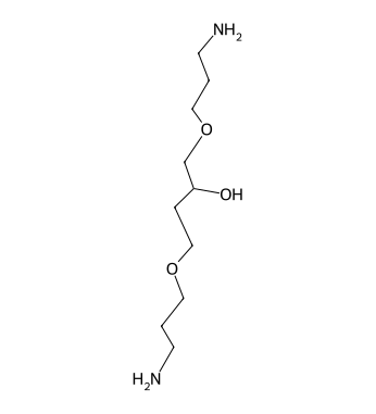 NCCCOCCC(O)COCCCN